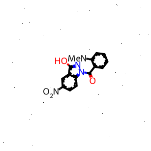 CNc1ccccc1C(=O)n1nc(O)c2cc([N+](=O)[O-])ccc21